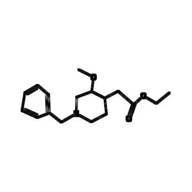 CCOC(=O)CC1CCN(Cc2ccccc2)CC1OC